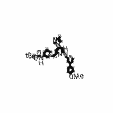 COc1ccc(-c2ccnc(CNc3cc(-n4cnc(C)c4)cc(CN4CCC[C@H](NC(=O)OC(C)(C)C)C4)n3)c2)cc1